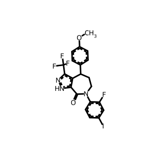 COc1ccc(C2CCN(c3ccc(I)cc3F)C(=O)c3[nH]nc(C(F)(F)F)c32)cc1